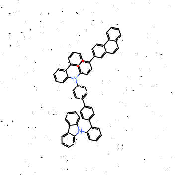 c1ccc(-c2ccccc2N(c2ccc(-c3ccc(-c4ccccc4-n4c5ccccc5c5ccccc54)cc3)cc2)c2ccc(-c3ccc4c(ccc5ccccc54)c3)cc2)cc1